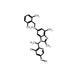 CCOc1cnc(C(C)n2c(C)nc3c(C)cc(OCc4c(C)cccc4C(=O)O)cc32)c(Cl)c1